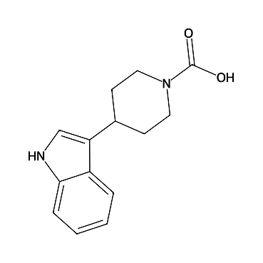 O=C(O)N1CCC(c2c[nH]c3ccccc23)CC1